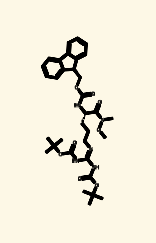 CON(C)C(=O)[C@H](CCCN=C(NC(=O)OC(C)(C)C)NC(=O)OC(C)(C)C)NC(=O)OCC1c2ccccc2-c2ccccc21